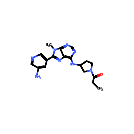 CCC(=O)N1CCC(Nc2ncnc3c2nc(-c2cncc(N)c2)n3C)C1